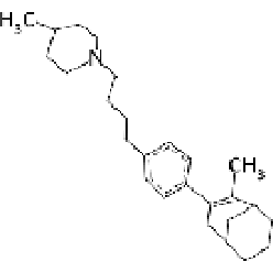 CC1=C(c2ccc(CCCCN3CCC(C)CC3)cc2)CC2CCCC1C2